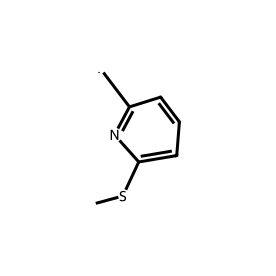 [CH2]c1cccc(SC)n1